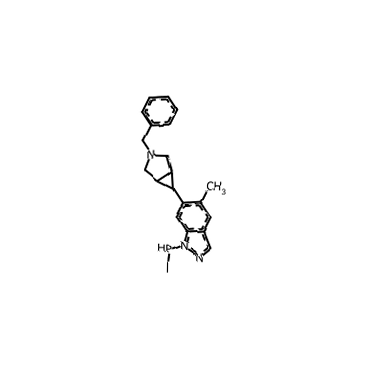 Cc1cc2cnn(PI)c2cc1C1C2CN(Cc3ccccc3)CC21